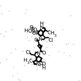 Cc1c[nH]c2c(O)cc3c(c12)C(CCl)CN3C(=O)C12CC(C(=O)N3CC(CCl)c4c3cc(OP(=O)(O)O)c3[nH]cc(C)c43)(C1)C2